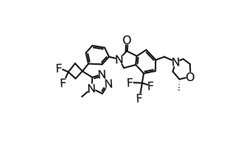 C[C@@H]1CN(Cc2cc3c(c(C(F)(F)F)c2)CN(c2cccc(C4(c5nncn5C)CC(F)(F)C4)c2)C3=O)CCO1